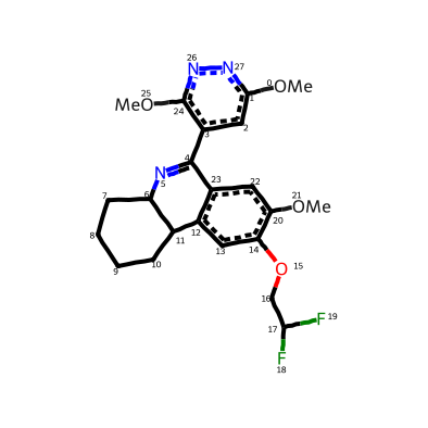 COc1cc(C2=NC3CCCCC3c3cc(OCC(F)F)c(OC)cc32)c(OC)nn1